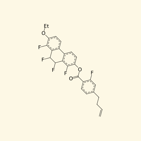 C=CCCc1ccc(C(=O)Oc2ccc3c(c2F)C(F)C(F)c2c-3ccc(OCC)c2F)c(F)c1